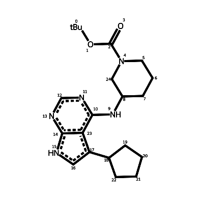 CC(C)(C)OC(=O)N1CCCC(Nc2ncnc3[nH]cc(C4CCCC4)c23)C1